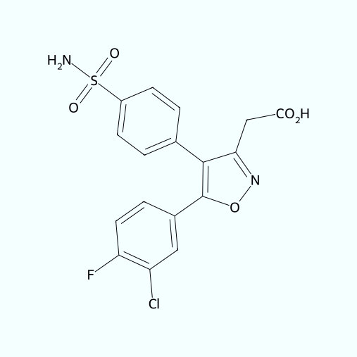 NS(=O)(=O)c1ccc(-c2c(CC(=O)O)noc2-c2ccc(F)c(Cl)c2)cc1